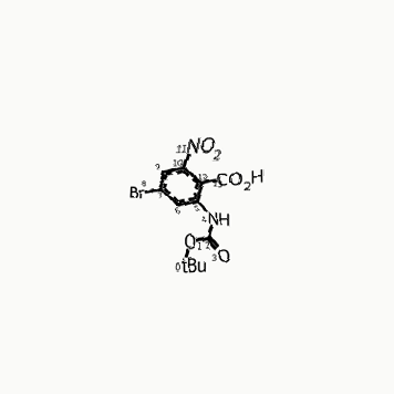 CC(C)(C)OC(=O)Nc1cc(Br)cc([N+](=O)[O-])c1C(=O)O